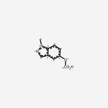 Cn1ncc2cc(OC(=O)O)ccc21